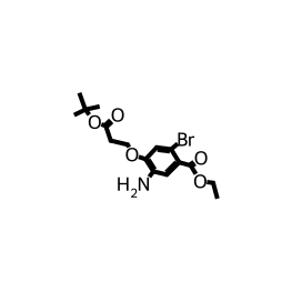 CCOC(=O)c1cc(N)c(OCCC(=O)OC(C)(C)C)cc1Br